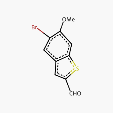 COc1cc2sc(C=O)cc2cc1Br